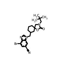 CC(C)(C)CN1CC2(CCCC(Cn3cnc4c(Br)cc(C#N)cc43)C2)OC1=O